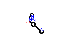 O=c1c2ccc(C#Cc3ccccn3)cc2nc2n1CC1CCCN21